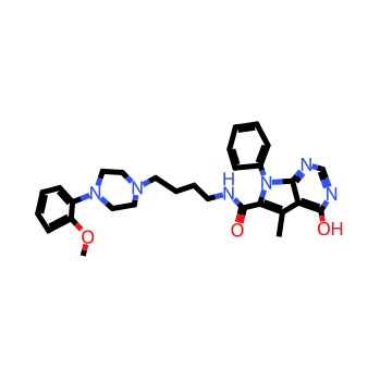 COc1ccccc1N1CCN(CCCCNC(=O)c2c(C)c3c(O)ncnc3n2-c2ccccc2)CC1